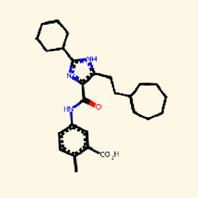 Cc1ccc(NC(=O)c2nc(C3CCCCC3)[nH]c2CCC2CCCCCC2)cc1C(=O)O